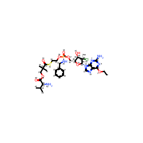 CCOc1nc(N)nc2c1ncn2[C@@H]1O[C@H](CO[P@](=O)(NCc2ccccc2)OCCSC(=O)C(C)(C)COC(=O)[C@@H](N)C(C)C)[C@@H](O)[C@@]1(C)Cl